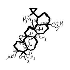 CC(=O)O[C@H]1CC[C@]2(C)[C@H]3CC[C@@H]4[C@H]5C(C6(C)CC6)CC[C@]5(C(=O)O)CC[C@@]4(C)[C@]3(C)CC[C@H]2C1(C)C